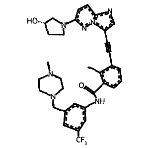 Cc1c(C#Cc2cnc3ccc(N4CC[C@H](O)C4)nn23)cccc1C(=O)Nc1cc(CN2CCN(C)CC2)cc(C(F)(F)F)c1